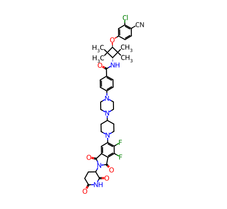 CC1(C)[C@H](NC(=O)c2ccc(N3CCN(C4CCN(c5cc6c(c(F)c5F)C(=O)N(C5CCC(=O)NC5=O)C6=O)CC4)CC3)cc2)C(C)(C)[C@H]1Oc1ccc(C#N)c(Cl)c1